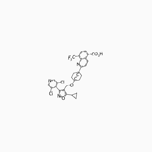 O=C(O)c1ccc(C(F)(F)F)c2nc(C34CCC(OCc5c(-c6c(Cl)cncc6Cl)noc5C5CC5)(CC3)CC4)ccc12